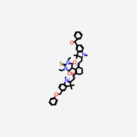 CCN1C(=O)C(C2=C(/C=C/C3=[N+](C)c4ccc(COc5ccccc5)cc4C3(C)C)CCC/C2=C\CC2N(C)c3ccc(C(=O)c4ccccc4)cc3C2(C)C)C(O)N(CC)C1=S